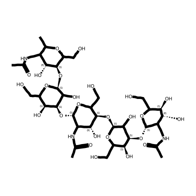 CC(=O)NC1[C@H](O[C@@H]2C(O)[C@H](O[C@@H]3C(CO)O[C@@H](O[C@@H]4C(O)[C@H](O[C@@H]5C(CO)OC(C)C(NC(C)=O)[C@H]5O)OC(CO)[C@@H]4O)C(NC(C)=O)[C@H]3O)OC(CO)[C@@H]2O)OC(CO)[C@@H](O)[C@@H]1O